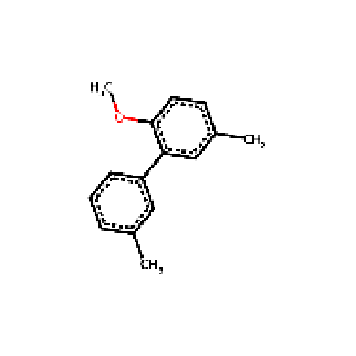 COc1ccc(C)cc1-c1cccc(C)c1